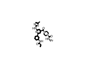 C=CC(=O)Nc1cccc(-c2cc(C(=O)N3CCN(C(=O)NC(C)C)CC3)cc(Nc3ncc(C)s3)n2)c1